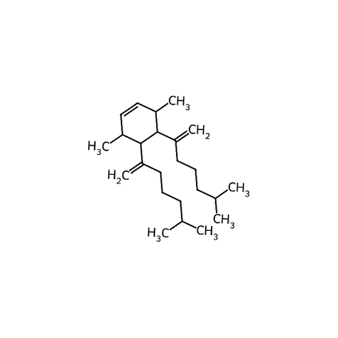 C=C(CCCC(C)C)C1C(C)C=CC(C)C1C(=C)CCCC(C)C